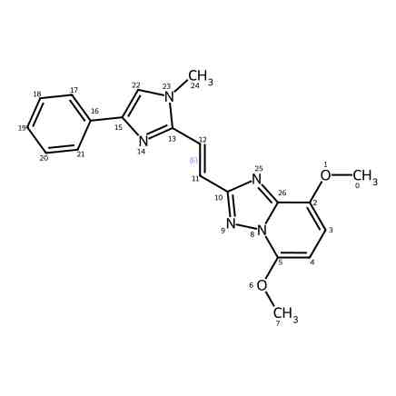 COc1ccc(OC)n2nc(/C=C/c3nc(-c4ccccc4)cn3C)nc12